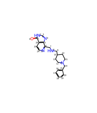 O=c1[nH]cnc2c(CNCC3CCN(Cc4ccccc4)CC3)nccc12